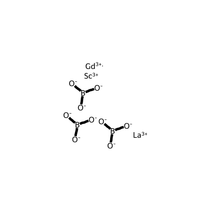 [Gd+3].[La+3].[O-]B([O-])[O-].[O-]B([O-])[O-].[O-]B([O-])[O-].[Sc+3]